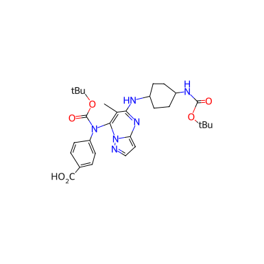 Cc1c(NC2CCC(NC(=O)OC(C)(C)C)CC2)nc2ccnn2c1N(C(=O)OC(C)(C)C)c1ccc(C(=O)O)cc1